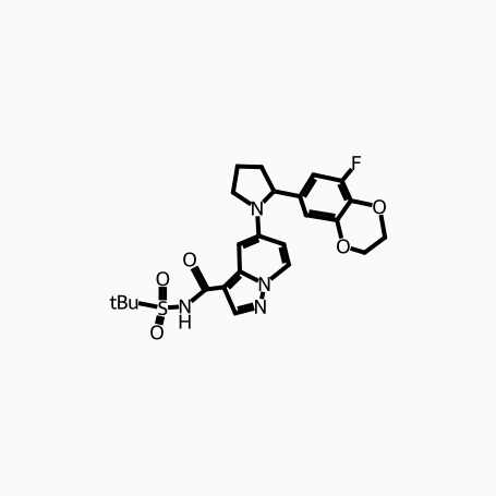 CC(C)(C)S(=O)(=O)NC(=O)c1cnn2ccc(N3CCCC3c3cc(F)c4c(c3)OCCO4)cc12